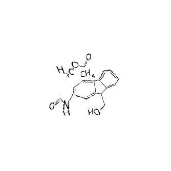 C.COC=O.O=CNc1ccc2c(c1)C(CO)c1ccccc1-2